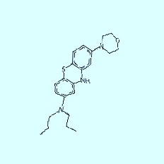 CCCN(CCC)c1ccc2c(c1)Nc1cc(N3CCOCC3)ccc1S2